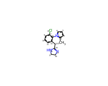 Cc1cccn1-c1c(Cl)cccc1CC1=NCCN1